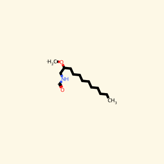 [CH2]OC(CCCCCCCCCC)CN[C]=O